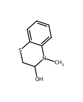 CN1c2ccccc2SCC1O